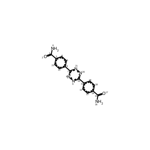 NC(=O)c1ccc(-c2nnc(-c3ccc(C(N)=O)cc3)nn2)cc1